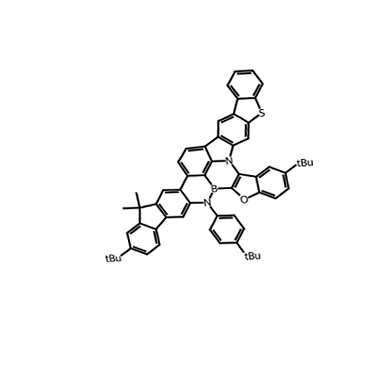 CC(C)(C)c1ccc(N2B3c4oc5ccc(C(C)(C)C)cc5c4-n4c5cc6sc7ccccc7c6cc5c5ccc(c3c54)-c3cc4c(cc32)-c2ccc(C(C)(C)C)cc2C4(C)C)cc1